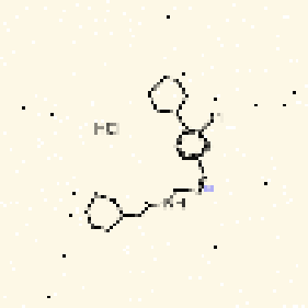 Cl.Clc1cc(/C=C\CNCCC2CCCCC2)ccc1C1CCCCC1